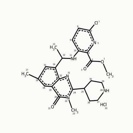 COC(=O)c1nc(Cl)ccc1NC(C)c1cc(C)cc2c(=O)n(C)c(C3CCNCC3)nc12.Cl